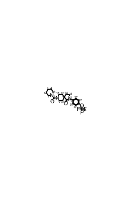 O=C(N1CCCCC1)N1CCC2(CC1)CCN(c1ccc(OC(F)(F)F)cc1)C2=O